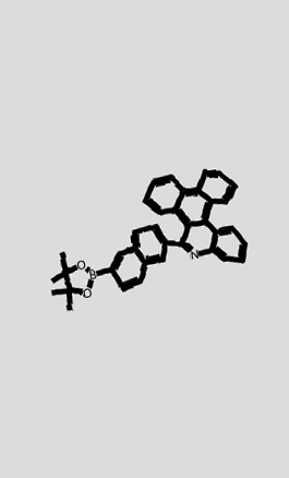 CC1(C)OB(c2ccc3cc(-c4nc5ccccc5c5c6ccccc6c6ccccc6c45)ccc3c2)OC1(C)C